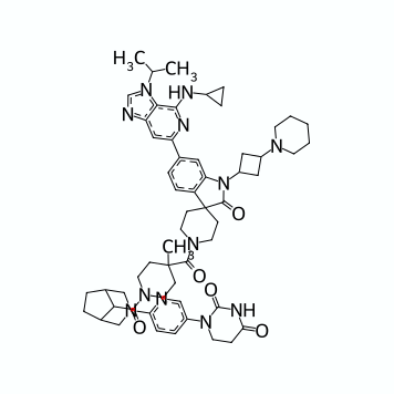 CC(C)n1cnc2cc(-c3ccc4c(c3)N(C3CC(N5CCCCC5)C3)C(=O)C43CCN(C(=O)C4(C)CCN(C(=O)C5C6CCC5CN(c5ccc(N7CCC(=O)NC7=O)cn5)C6)CC4)CC3)nc(NC3CC3)c21